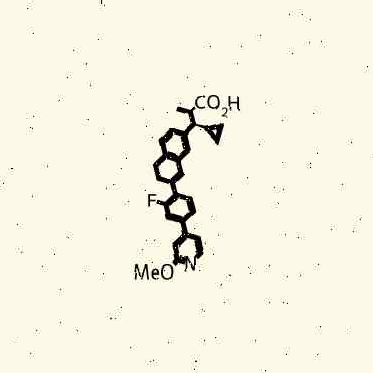 COc1cc(-c2ccc(C3=Cc4cc([C@H](C5CC5)[C@@H](C)C(=O)O)ccc4CC3)c(F)c2)ccn1